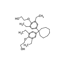 CCc1cc(C2(c3cc(CC)c(OCCO)c(CC)c3)CCCCCCC2)cc(CC)c1OCCO